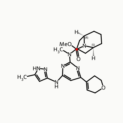 COC(=O)N1[C@@H]2CCC[C@H]1CC(N(C)c1nc(Nc3cc(C)[nH]n3)cc(C3=CCOCC3)n1)C2